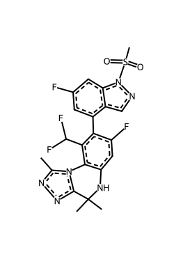 Cc1nnc2n1-c1c(cc(F)c(-c3cc(F)cc4c3cnn4S(C)(=O)=O)c1C(F)F)NC2(C)C